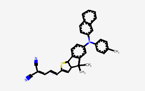 Cc1ccc(N(c2ccc3c(c2)C(C)(C)C2C=C(/C=C/C=C(C#N)C#N)SC32)c2ccc3ccccc3c2)cc1